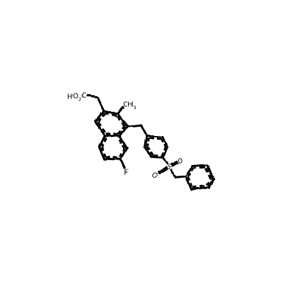 Cc1c(CC(=O)O)cc2ccc(F)cc2c1Cc1ccc(S(=O)(=O)Cc2ccccc2)cc1